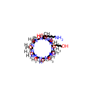 CC[C@H]1NC(=O)[C@H]([C@H](O)[C@H](C)CCCCCCN)N(C)C(=O)[C@@H](C(C)C)N(C)C(=O)[C@@H](CC(C)C)N(C)C(=O)[C@H](CC(C)C)N(C)C(=O)[C@H](C)NC(=O)[C@@H](C)NC(=O)[C@@H](CC(C)C)N(C)C(=O)[C@@H](C(C)C)NC(=O)[C@H](CC(C)C)N(C)C(=O)[C@@H](SCCCCCO)N(C)C1=O